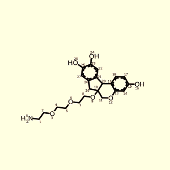 NCCOCCOCCOC12COc3cc(O)ccc3C1c1cc(O)c(O)cc1C2